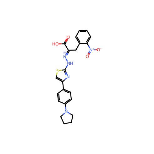 O=C(O)/C(Cc1ccccc1[N+](=O)[O-])=N/Nc1nc(-c2ccc(N3CCCC3)cc2)cs1